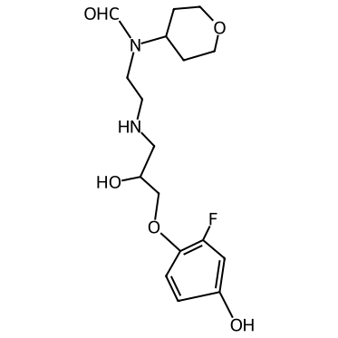 O=CN(CCNCC(O)COc1ccc(O)cc1F)C1CCOCC1